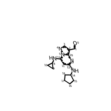 O=Cc1cnn2c(NC3CC3)cc(NC3CCCC3)nc12